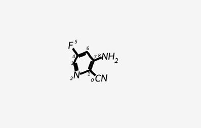 N#Cc1ncc(F)cc1N